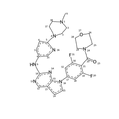 CN1CCN(c2ccc(Nc3ncc4ccn(-c5cc(F)c(C(=O)N6CCOCC6)c(F)c5)c4n3)cn2)CC1